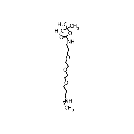 CSNCCCOCCOCCOCCCNC(=O)OC(C)(C)C